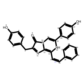 O=c1c(Cc2ccc(O)cc2)nc2c(/C=C\c3ccccc3)[nH]c(-c3ccc(O)cc3)cn1-2